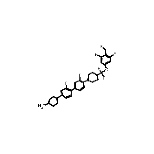 CC1CCC(c2ccc(-c3ccc(C4CCC(C(F)(F)Oc5cc(F)c(CF)c(F)c5)CC4)c(F)c3)c(F)c2)CC1